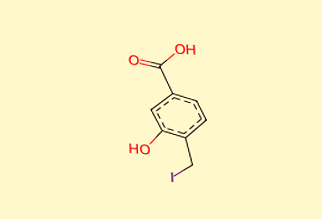 O=C(O)c1ccc(CI)c(O)c1